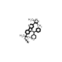 Cc1nnn(C)c1-c1cnc2c3ccc(C(C)(C)N=[N+]=[N-])cc3n(C(c3ccccc3)C3CCOCC3)c2c1